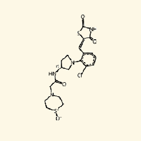 O=C(CN1CC[S+]([O-])CC1)N[C@H]1CCN(c2c(Cl)cccc2C=C2SC(=O)NC2=O)C1